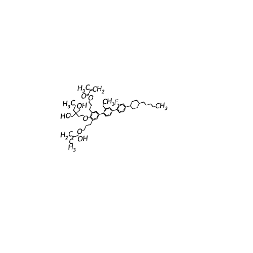 C=C(C)C(=O)OCCCc1cc(-c2ccc(-c3ccc(C4CCC(CCCCC)CC4)cc3F)cc2CC)cc(CCCOC(O)C(=C)C)c1OCCC(CO)(CO)CCC